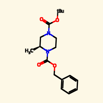 C[C@H]1CN(C(=O)OC(C)(C)C)CCN1C(=O)OCc1ccccc1